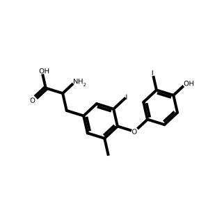 Cc1cc(CC(N)C(=O)O)cc(I)c1Oc1ccc(O)c(I)c1